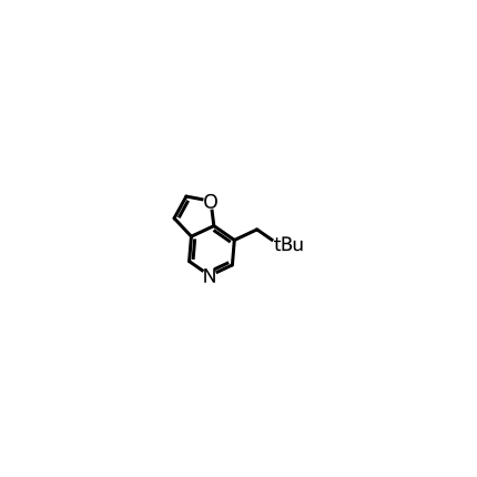 CC(C)(C)Cc1cncc2ccoc12